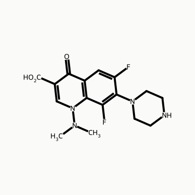 CN(C)n1cc(C(=O)O)c(=O)c2cc(F)c(N3CCNCC3)c(F)c21